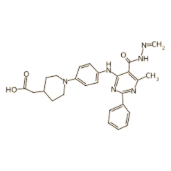 C=NNC(=O)c1c(C)nc(-c2ccccc2)nc1Nc1ccc(N2CCC(CC(=O)O)CC2)cc1